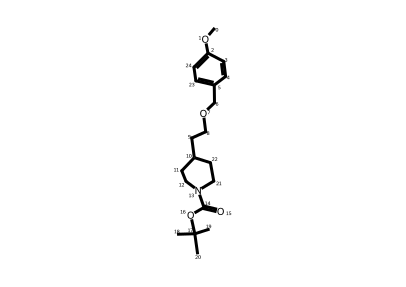 COc1ccc(COCCC2CCN(C(=O)OC(C)(C)C)CC2)cc1